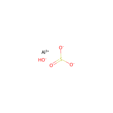 O=S([O-])[O-].[Al+3].[OH-]